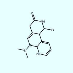 CC(C)C1NC(=O)CC2=CN(N(C)C)C3NC=CC=C3C21